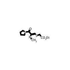 C=N/C(=C\SCC(=O)OCC)C(=O)N1CCCC1